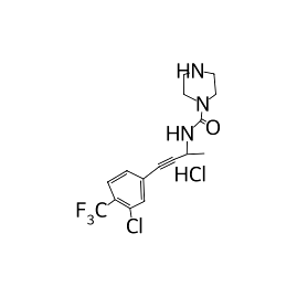 CC(C#Cc1ccc(C(F)(F)F)c(Cl)c1)NC(=O)N1CCNCC1.Cl